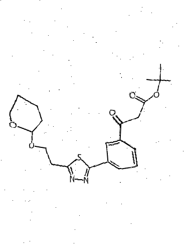 CC(C)(C)OC(=O)CC(=O)c1cccc(-c2nnc(CCOC3CCCCO3)s2)c1